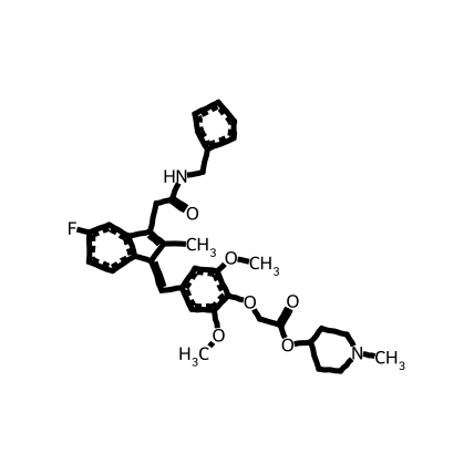 COc1cc(C=C2C(C)=C(CC(=O)NCc3ccccc3)c3cc(F)ccc32)cc(OC)c1OCC(=O)OC1CCN(C)CC1